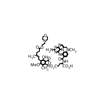 CN(Cc1cnc2nc(N)nc(N)c2n1)c1ccc(C(=O)N[C@@H](CCC(=O)O)C(=O)O)cc1.COc1c(C)c2c(c(O)c1C/C=C(\C)CCC(=O)OCCN1CCOCC1)C(=O)OC2